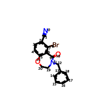 N#Cc1ccc2c(c1Br)C(=O)N(Cc1ccccc1)CCO2